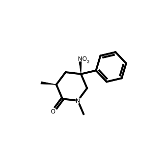 C[C@H]1C[C@@](c2ccccc2)([N+](=O)[O-])CN(C)C1=O